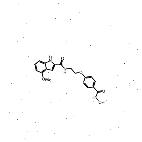 COc1cccc2[nH]c(C(=O)NCCOc3ccc(C(=O)NO)cc3)cc12